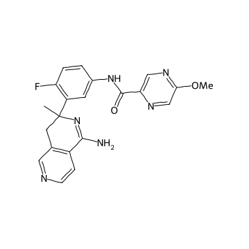 COc1cnc(C(=O)Nc2ccc(F)c(C3(C)Cc4cnccc4C(N)=N3)c2)cn1